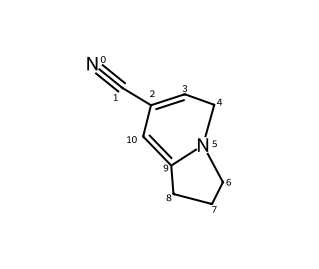 N#CC1=CCN2CCCC2=C1